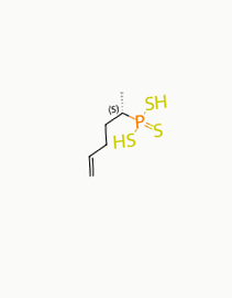 C=CCC[C@H](C)P(=S)(S)S